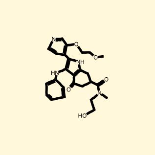 COCCOc1cnccc1-c1[nH]c2c(c1Nc1ccccc1)C(=O)CC(C(=O)N(C)CCO)C2